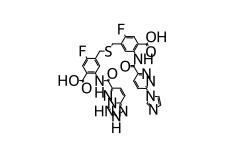 O=C(Nc1cc(CSCc2cc(NC(=O)c3ccc(-n4ccnc4)nn3)c(C(=O)O)cc2F)c(F)cc1C(=O)O)C1=NN2NNN=C2C=C1